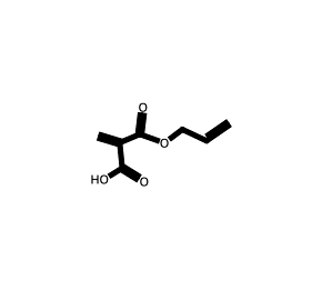 C=CCOC(=O)C(=C)C(=O)O